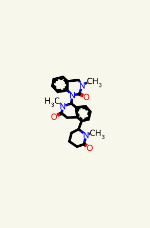 CN1Cc2ccccc2N(C2c3cccc(C4CCCC(=O)N4C)c3CC(=O)N2C)C1=O